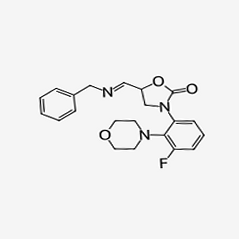 O=C1OC(C=NCc2ccccc2)CN1c1cccc(F)c1N1CCOCC1